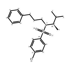 CC(C)[C@@H](C)N(CCCc1ccccc1)S(=O)(=O)c1ccc(Cl)cc1